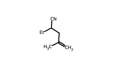 C=C(C)CC(C#N)CC